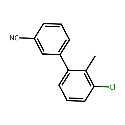 Cc1c(Cl)cccc1-c1cccc(C#N)c1